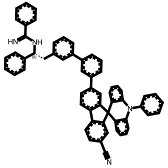 N#Cc1ccc2c(c1)C1(c3cc(-c4cccc(-c5cccc(C[C@@H](NC(=N)c6ccccc6)c6ccccc6)c5)c4)ccc3-2)c2ccccc2N(c2ccccc2)c2ccccc21